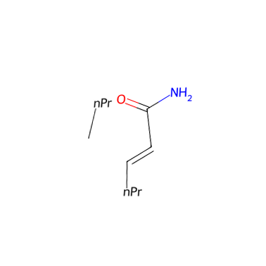 CCC/C=C/C(N)=O.CCCC